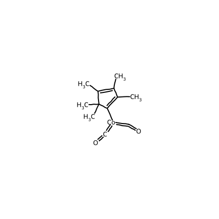 CC1=C(C)C(C)(C)[C]([Co](=[C]=O)=[C]=O)=C1C